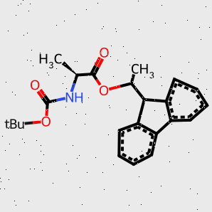 CC(OC(=O)[C@H](C)NC(=O)OC(C)(C)C)C1c2ccccc2-c2ccccc21